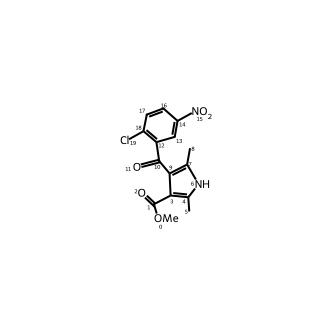 COC(=O)c1c(C)[nH]c(C)c1C(=O)c1cc([N+](=O)[O-])ccc1Cl